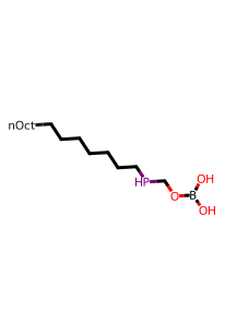 CCCCCCCCCCCCCCCPCOB(O)O